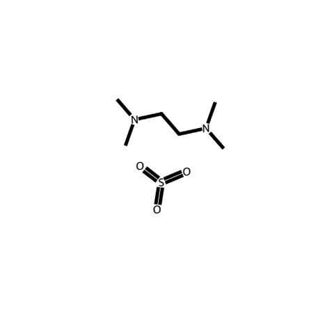 CN(C)CCN(C)C.O=S(=O)=O